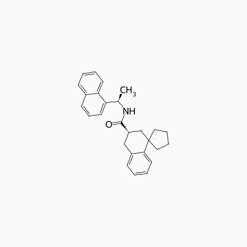 C[C@@H](NC(=O)[C@@H]1Cc2ccccc2C2(CCCC2)C1)c1cccc2ccccc12